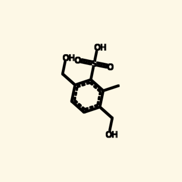 Cc1c(CO)ccc(CO)c1S(=O)(=O)O